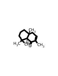 CC1=CC[C@@]2(C)CCCC(C)(C)[C@@H]2C1=O